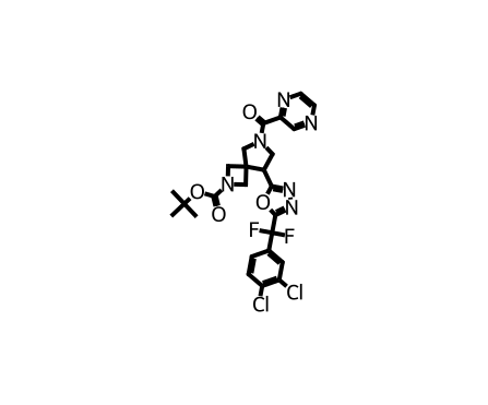 CC(C)(C)OC(=O)N1CC2(C1)CN(C(=O)c1cnccn1)CC2c1nnc(C(F)(F)c2ccc(Cl)c(Cl)c2)o1